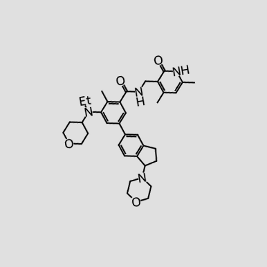 CCN(c1cc(-c2ccc3c(c2)CCC3N2CCOCC2)cc(C(=O)NCc2c(C)cc(C)[nH]c2=O)c1C)C1CCOCC1